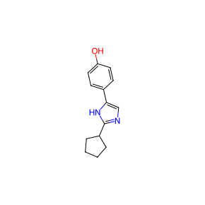 Oc1ccc(-c2cnc(C3CCCC3)[nH]2)cc1